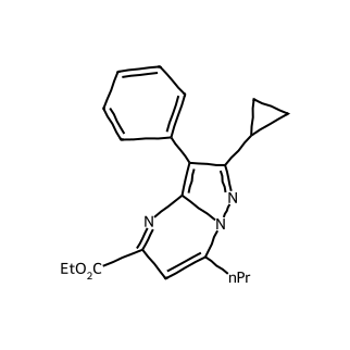 CCCc1cc(C(=O)OCC)nc2c(-c3ccccc3)c(C3CC3)nn12